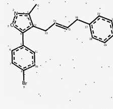 Cc1noc(-c2ccc(Br)cc2)c1CC=CCc1ccccc1